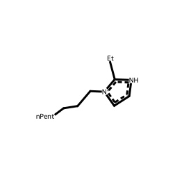 CCCCCCCC[n+]1cc[nH]c1CC